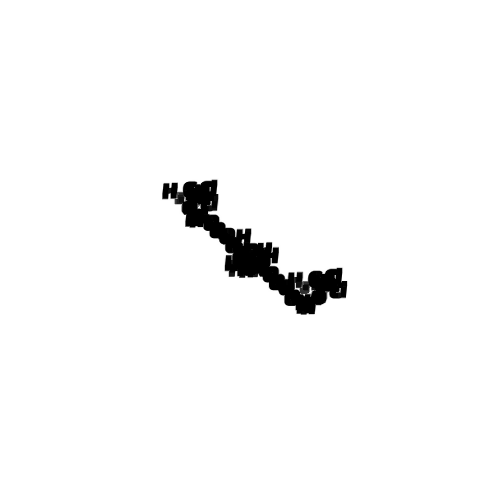 CN1Cc2c(Cl)cc(Cl)cc2[C@H](c2cccc(-c3cn(CCOCCOCCOCCOCCNC(=O)[C@@H](O)[C@H](O)[C@H](O)[C@@H](O)C(=O)NCCOCCOCCOCCOCCn4cc(-c5cccc([C@@H]6CN(C)Cc7c(Cl)cc(Cl)cc76)c5)nn4)nn3)c2)C1